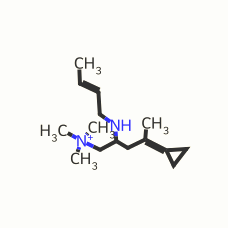 C/C=C/CNC(CC(C)=C1CC1)C[N+](C)(C)C